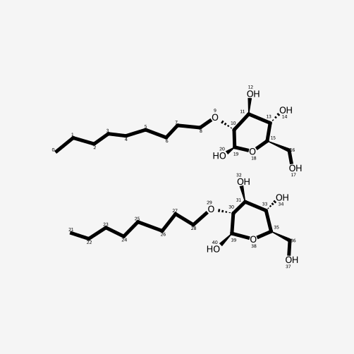 CCCCCCCCCO[C@@H]1[C@@H](O)[C@H](O)[C@@H](CO)O[C@H]1O.CCCCCCCCO[C@@H]1[C@@H](O)[C@H](O)[C@@H](CO)O[C@H]1O